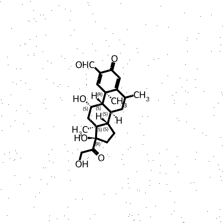 CC1C[C@@H]2[C@H]([C@@H](O)C[C@@]3(C)[C@H]2CC[C@]3(O)C(=O)CO)[C@@]2(C)C=C(C=O)C(=O)C=C12